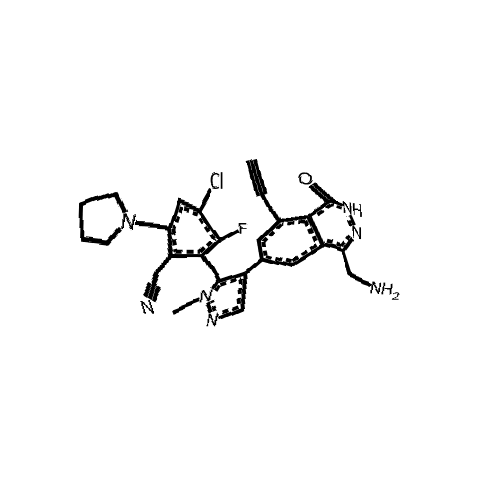 C#Cc1cc(-c2cnn(C)c2-c2c(F)c(Cl)cc(N3CCCC3)c2C#N)cc2c(CN)n[nH]c(=O)c12